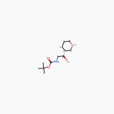 CC(C)(C)OC(=O)NCC(=O)[C@@H]1CCCOC1